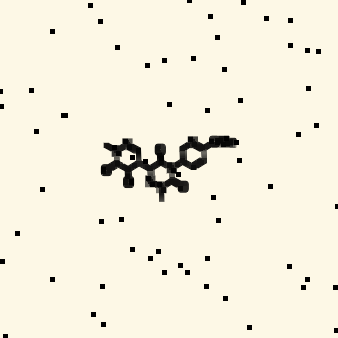 COc1ccc(-n2c(=O)c(C3C=NN(C)C(=O)C3=O)nn(C)c2=O)cn1